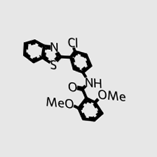 COc1cccc(OC)c1C(=O)Nc1ccc(Cl)c(-c2nc3ccccc3s2)c1